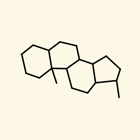 CC1CCC2C1CCC1C2CCC2C[CH]CCC21C